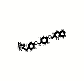 c1ccc2nc(COc3ccc(COc4ccc(Cc5nnn[nH]5)cc4)cc3)ccc2c1